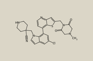 CN1CC(=O)N(Cc2cc3nccc(-c4cc(Cl)cc5ccn(CC6(C#N)CCNCC6)c45)c3s2)C(=O)C1